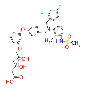 Cc1c(NS(C)(=O)=O)cccc1N(Cc1ccc(Oc2cccc(OC[C@@H](O)C[C@H](O)CC(=O)O)c2)cc1)Cc1ccc(F)cc1F